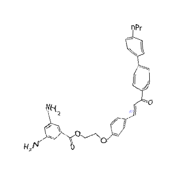 CCCc1ccc(-c2ccc(C(=O)/C=C/c3ccc(OCCOC(=O)c4cc(N)cc(N)c4)cc3)cc2)cc1